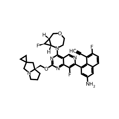 C#Cc1c(F)ccc2cc(N)cc(-c3ncc4c(N5CCOC[C@H]6[C@H](F)[C@H]65)nc(OC[C@@]56CCCN5CC5(CC5)C6)nc4c3F)c12